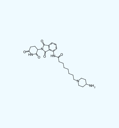 NC1CCN(CCCCCCCC(=O)Nc2cccc3c2C(=O)N(C2CCC(=O)NC2=O)C3=O)CC1